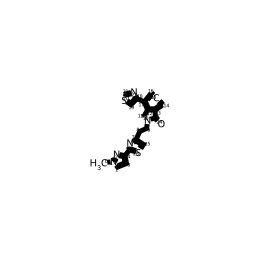 Cn1ccc(-c2nc(CCN3Cc4c(cccc4-c4cscn4)C3=O)cs2)n1